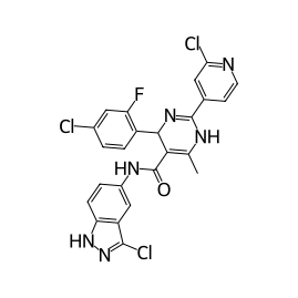 CC1=C(C(=O)Nc2ccc3[nH]nc(Cl)c3c2)C(c2ccc(Cl)cc2F)N=C(c2ccnc(Cl)c2)N1